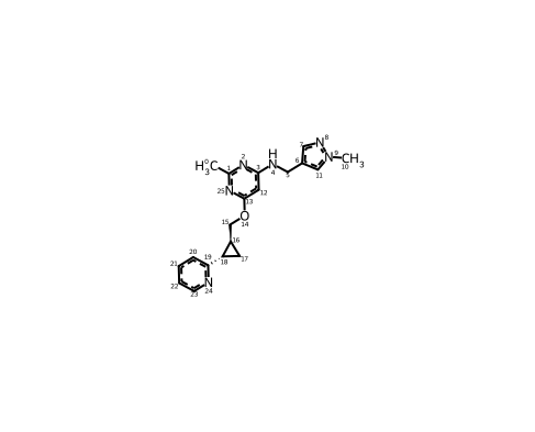 Cc1nc(NCc2cnn(C)c2)cc(OC[C@H]2C[C@@H]2c2ccccn2)n1